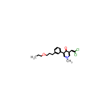 CCCOCCCc1cccc(-c2cn(C)cc(C=C(Cl)Cl)c2=O)c1